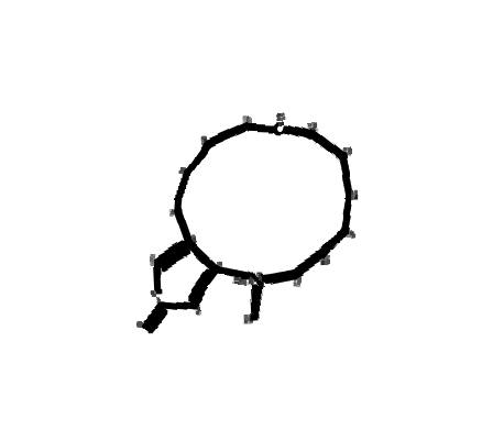 C=C/C=C1\C(=C/C)CCCCCCCCCCCN1C